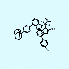 CCC1=Cc2c(-c3ccc(C45CC6CC(CC(C6)C4)C5)cc3)cccc2[CH]1[Zr]([Cl])([Cl])([CH]1C(C(C)CC)=Cc2c(-c3ccc(C(C)C)cc3)cccc21)[SiH](C)C